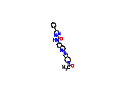 CC(=O)N1CCC2CN(c3ccc4cc(NC(=O)c5ncc(-c6ccccc6)cn5)ccc4n3)CC2CC1